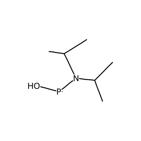 CC(C)N([P]O)C(C)C